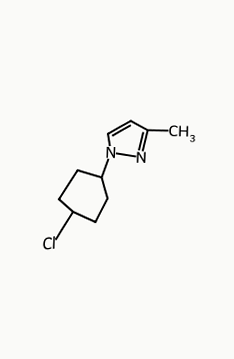 Cc1ccn(C2CCC(Cl)CC2)n1